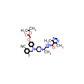 C=C(C)OC(=O)COc1ccc(N(Cc2cc(C#N)ccc2F)C2CCN([C@H](C)CCNC(=O)c3c(C)ncnc3C)CC2)cc1